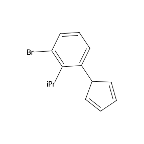 CC(C)c1c(Br)cccc1C1C=CC=C1